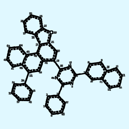 c1ccc(-c2nc(-c3ccc4ccccc4c3)nc(-c3cc4oc5ccccc5c4c4c3cc(-c3ccccc3)c3ccccc34)n2)cc1